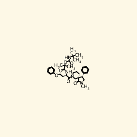 CN1C[C@@H](c2ccccc2)[C@@]2(CCCN(C(=O)[C@@H](CCOc3ccccc3)NC(=O)C(C)(C)OC(=O)NC(C)(C)C)C2)C1=O